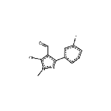 Cn1nc(-c2cccc(F)c2)c(C=O)c1Cl